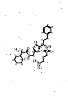 CCN(CC)CCCS(=O)(=O)N[C@H](CCc1ccccc1)c1nc(CN(CC)C(=O)N(C)C2CCCCC2)n[nH]1